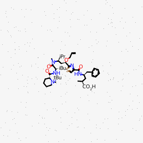 C=CCO[C@H](C[C@H](C(C)C)N(C)C(=O)C(NC(=O)[C@H]1CCCC[N+]1(C)C(C)(C)C)[C@@H](C)CC)c1nc(C(=O)N[C@@H](Cc2ccccc2)C[C@H](C)C(=O)O)cs1